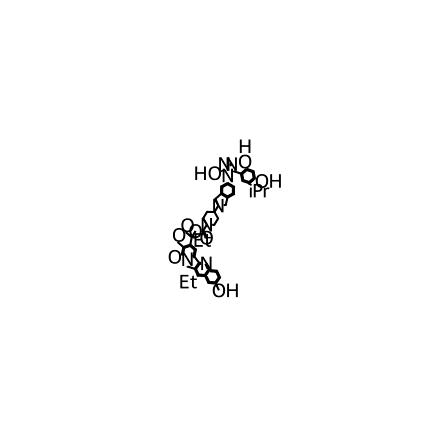 CCc1c2c(nc3ccc(O)cc13)-c1cc3c(c(=O)n1C2)COC(=O)[C@@]3(CC)OC(=O)N1CCC(N2Cc3ccc(-n4c(O)nnc4-c4cc(C(C)C)c(O)cc4O)cc3C2)CC1